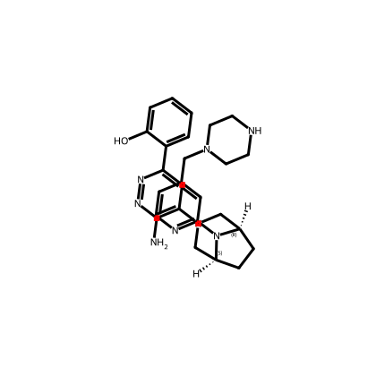 Nc1nnc(-c2ccccc2O)cc1N1C[C@H]2CC[C@@H](C1)N2c1cc(CN2CCNCC2)ccn1